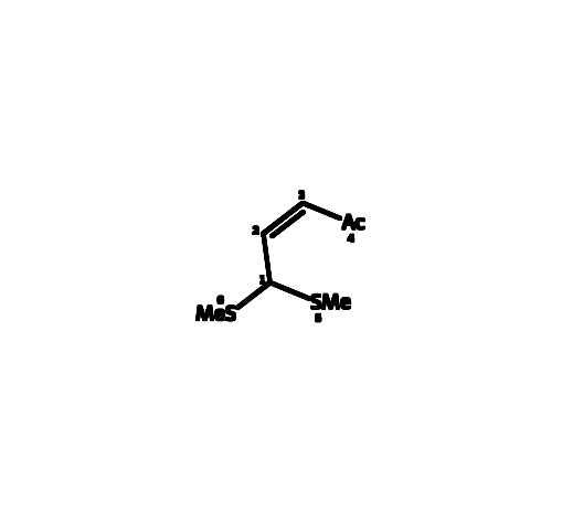 CSC(/C=C\C(C)=O)SC